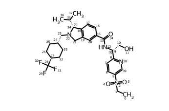 CCS(=O)(=O)c1ccc([C@@H](CO)NC(=O)c2ccc3c(c2)CN(C[C@H]2CC[C@H](C(F)(F)F)CC2)[C@@H]3C(C)C)nc1